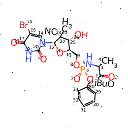 CC(C)COC(=O)[C@H](C)NP(=O)(OC[C@H]1O[C@@H](n2cc(Br)c(=O)[nH]c2=O)[C@](C)(C#N)[C@@H]1O)Oc1ccccc1